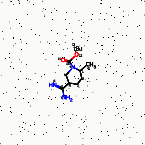 CC1CCC(C(=N)N)CN1C(=O)OC(C)(C)C